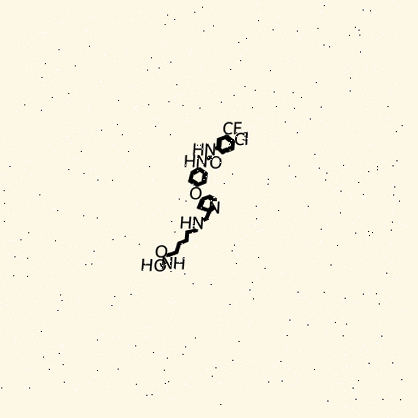 O=C(CCCCCNCc1cc(Oc2ccc(NC(=O)Nc3ccc(Cl)c(C(F)(F)F)c3)cc2)ccn1)NO